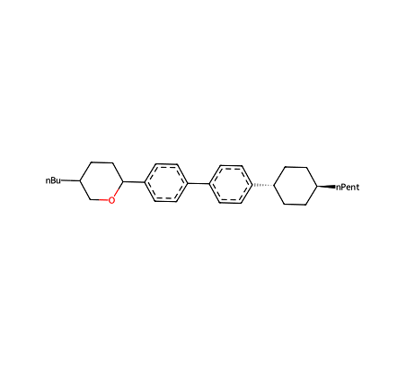 CCCCC[C@H]1CC[C@H](c2ccc(-c3ccc(C4CCC(CCCC)CO4)cc3)cc2)CC1